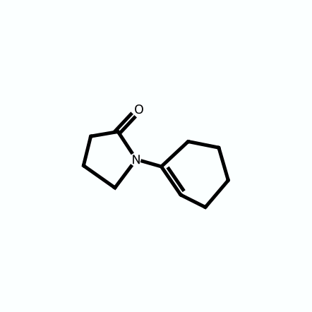 O=C1CCCN1C1=CCCCC1